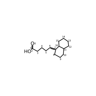 O=C(O)CCCC=C1CCCC2CCCCC12